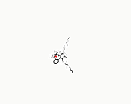 CCCCOCCOC(=O)C(C(c1ccccc1S(=O)(=O)C(F)(F)F)C(C(C)=O)C(=O)OCCOCCCC)=[N+]([O-])O